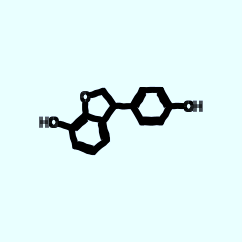 Oc1ccc(C2COc3c(O)cccc32)cc1